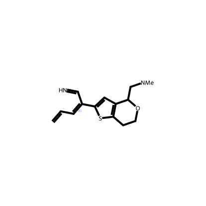 C=C/C=C(\C=N)c1cc2c(s1)CCOC2CNC